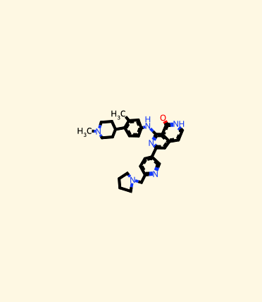 Cc1cc(Nc2nc(-c3ccc(CN4CCCC4)nc3)cc3cc[nH]c(=O)c23)ccc1C1CCN(C)CC1